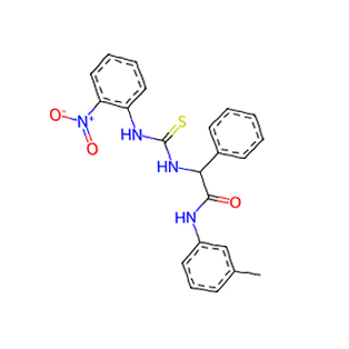 Cc1cccc(NC(=O)C(NC(=S)Nc2ccccc2[N+](=O)[O-])c2ccccc2)c1